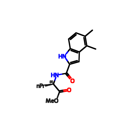 CCC[C@@H](NC(=O)c1cc2c(C)c(C)ccc2[nH]1)C(=O)OC